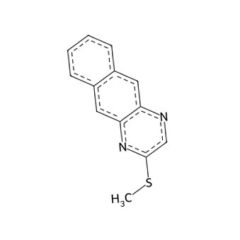 CSc1cnc2cc3ccccc3cc2n1